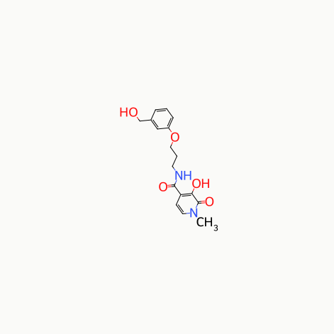 Cn1ccc(C(=O)NCCCOc2cccc(CO)c2)c(O)c1=O